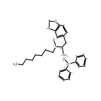 CCCCCCCC[S+]([O-])C(C)Cc1ccc2c(c1)OCO2.[O-][S+](c1ccccc1)c1ccccc1